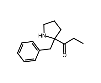 CCC(=O)C1(Cc2ccccc2)CCCN1